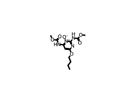 CCCCOc1cc(NC(=O)OC)[n+]([O-])c(NC(=O)OC)n1